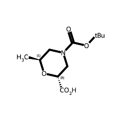 C[C@H]1CN(C(=O)OC(C)(C)C)C[C@H](C(=O)O)O1